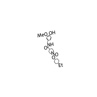 CC[C@H]1CC[C@H](OC(=O)N2CCC(C(=O)NCc3ccc(O)c(OC)c3)CC2)CC1